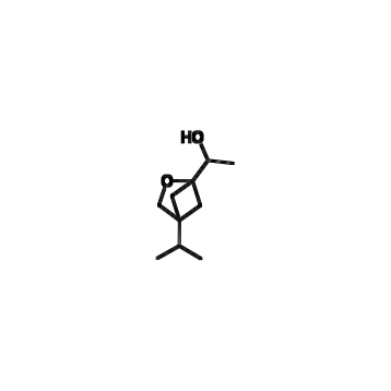 CC(C)C12COC(C(C)O)(C1)C2